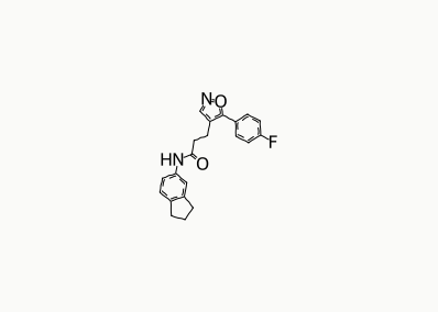 O=C(CCc1cnoc1-c1ccc(F)cc1)Nc1ccc2c(c1)CCC2